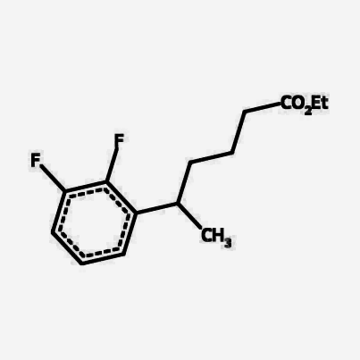 CCOC(=O)CCCC(C)c1cccc(F)c1F